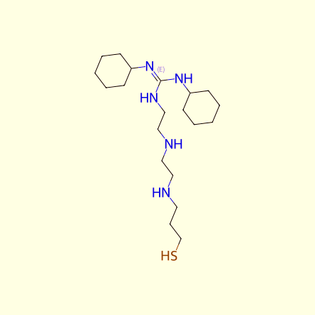 SCCCNCCNCCN/C(=N\C1CCCCC1)NC1CCCCC1